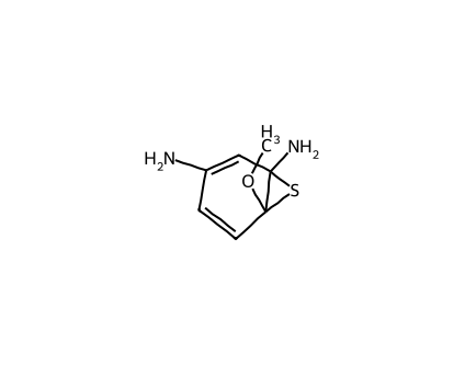 COC12C=CC(N)=CC1(N)S2